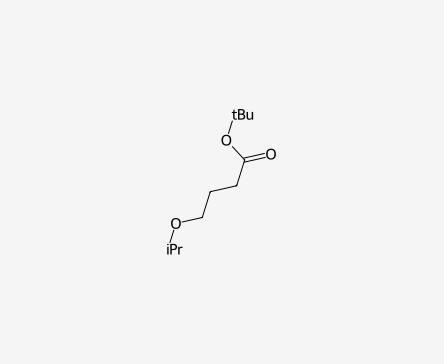 CC(C)OCCCC(=O)OC(C)(C)C